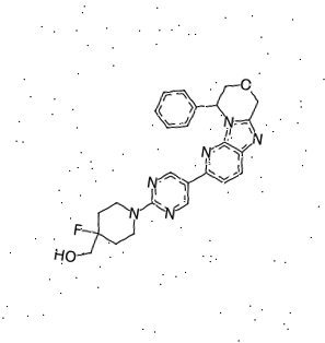 OCC1(F)CCN(c2ncc(-c3ccc4nc5n(c4n3)C(c3ccccc3)COC5)cn2)CC1